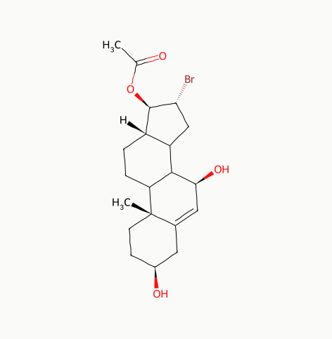 CC(=O)O[C@H]1[C@H](Br)CC2C3C(CC[C@@H]21)[C@@]1(C)CC[C@H](O)CC1=C[C@@H]3O